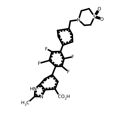 Cc1nc2c(C(=O)O)cc(-c3c(F)c(F)c(-c4ccc(CN5CCS(=O)(=O)CC5)cc4)c(F)c3F)cc2[nH]1